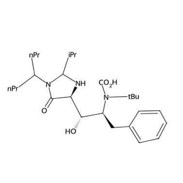 CCCC(CCC)N1C(=O)[C@H]([C@@H](O)[C@H](Cc2ccccc2)N(C(=O)O)C(C)(C)C)NC1C(C)C